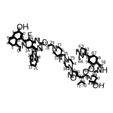 CCc1cccc2cc(O)cc(-c3ncc4c(N5CC6CCC(C5)N6)nc(OCCN5CCC(F)(CN6CCN(c7cc([C@H](C(=O)N8C[C@H](O)C[C@H]8C(=O)N[C@@H](C)c8ccc(-c9ccnn9C)cc8)C(C)C)on7)CC6)CC5)nc4c3F)c12